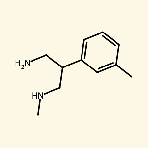 CNCC(CN)c1cccc(C)c1